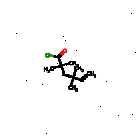 C=CC(C)(C)CC(C)(C)C(=O)Cl